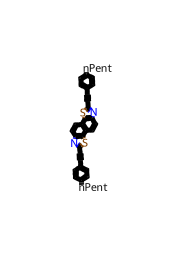 CCCCCc1ccc(C#Cc2nc3ccc4c(ccc5nc(C#Cc6ccc(CCCCC)cc6)sc54)c3s2)cc1